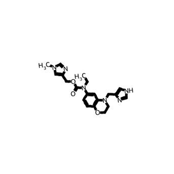 CCN(C(=O)OCc1cn(C)cn1)c1ccc2c(c1)N(Cc1c[nH]cn1)CCO2